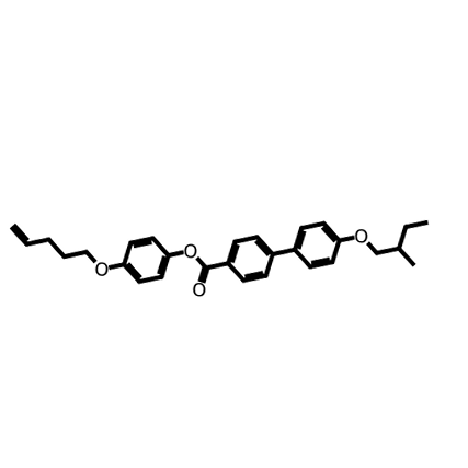 C=CCCCOc1ccc(OC(=O)c2ccc(-c3ccc(OCC(C)CC)cc3)cc2)cc1